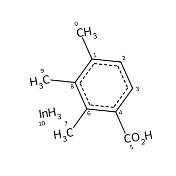 Cc1ccc(C(=O)O)c(C)c1C.[InH3]